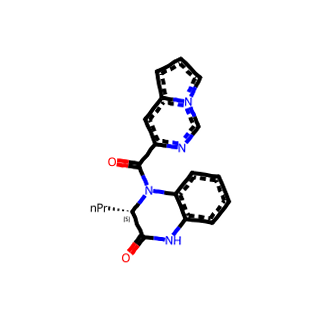 CCC[C@H]1C(=O)Nc2ccccc2N1C(=O)c1cc2cccn2cn1